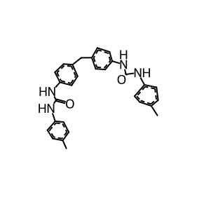 Cc1ccc(NC(=O)Nc2ccc(Cc3ccc(NC(=O)Nc4ccc(C)cc4)cc3)cc2)cc1